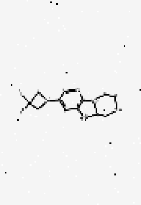 FC1(F)CN(c2cnc3c(c2)NC2CNCCN32)C1